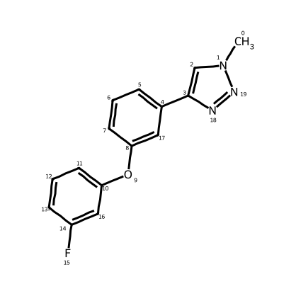 Cn1cc(-c2cccc(Oc3cc[c]c(F)c3)c2)nn1